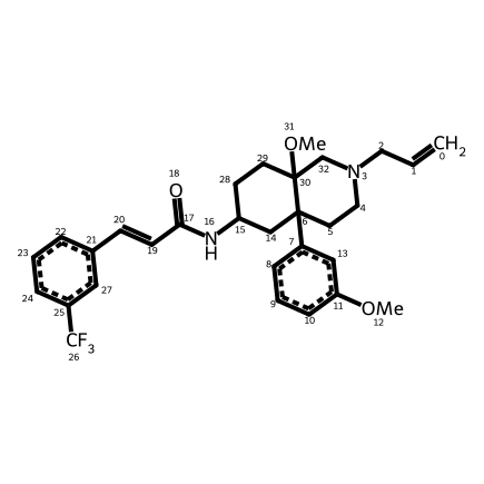 C=CCN1CCC2(c3cccc(OC)c3)CC(NC(=O)/C=C/c3cccc(C(F)(F)F)c3)CCC2(OC)C1